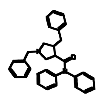 O=C(C1CN(Cc2ccccc2)CC1Cc1ccccc1)N(c1ccccc1)c1ccccc1